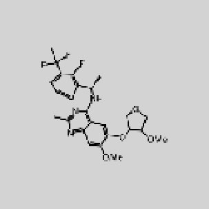 COc1cc2nc(C)nc(N[C@H](C)c3cccc(C(C)(F)F)c3F)c2cc1OC1COCC1OC